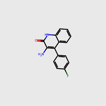 Nc1c(-c2ccc(F)cc2)c2ccccc2[nH]c1=O